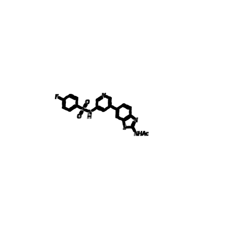 CC(=O)Nc1nc2ccc(-c3cncc(NS(=O)(=O)c4ccc(F)cc4)c3)cc2s1